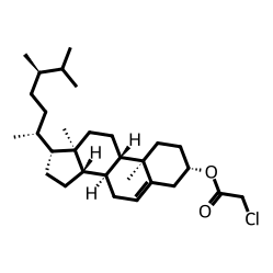 CC(C)[C@H](C)CC[C@@H](C)[C@H]1CC[C@H]2[C@@H]3CC=C4C[C@@H](OC(=O)CCl)CC[C@]4(C)[C@H]3CC[C@]12C